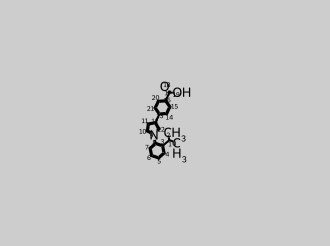 CC(C)c1ccccc1-n1ccc(-c2ccc(C(=O)O)cc2)c1